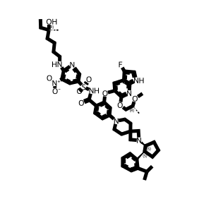 CC[C@@](C)(O)CCCCNc1ncc(S(=O)(=O)NC(=O)c2ccc(N3CCC4(CC3)CN([C@H]3CCC[C@H]3c3ccccc3C(C)C)C4)cc2Oc2cc3c(F)c[nH]c3nc2OC[C@@H](C)OC)cc1[N+](=O)[O-]